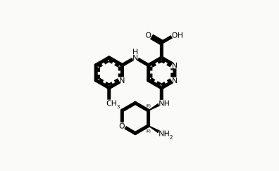 Cc1cccc(Nc2cc(N[C@@H]3CCOC[C@@H]3N)nnc2C(=O)O)n1